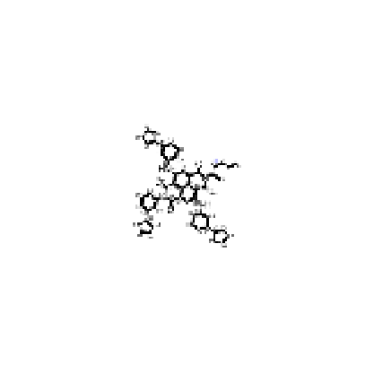 C=C/C=C\C(=C)N1C(=O)c2cc(Nc3cccc(C4=CCC=C4)c3)c3c4c(cc(Nc5cccc(C6=CC=CC6)c5)c(c24)C1=O)C(=O)N(c1cccc(C2=CC=CC2)c1)C3=O